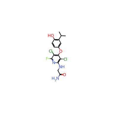 CC(C)c1cc(Oc2c(Cl)c(F)nc(NCC(N)=O)c2Cl)ccc1O